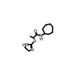 CC(SC1=NCCN1)C(=O)NC1CCCCCC1